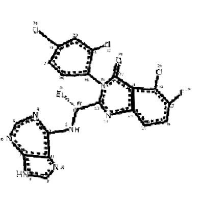 CC[C@@H](Nc1ncnc2[nH]cnc12)c1nc2ccc(F)c(Cl)c2c(=O)n1-c1ccc(Cl)cc1Cl